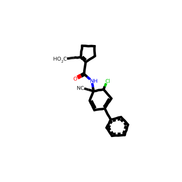 N#CC1(NC(=O)C2=C(C(=O)O)CCC2)C=CC(c2ccccc2)=CC1Cl